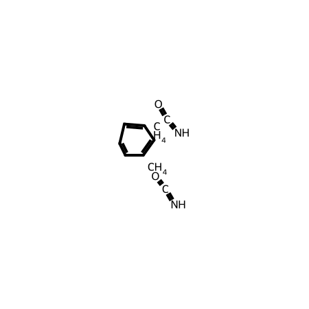 C.C.N=C=O.N=C=O.c1ccccc1